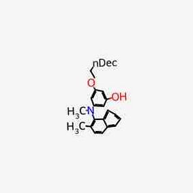 CCCCCCCCCCCCOc1cc(O)cc(N(C)c2c(C)ccc3ccccc23)c1